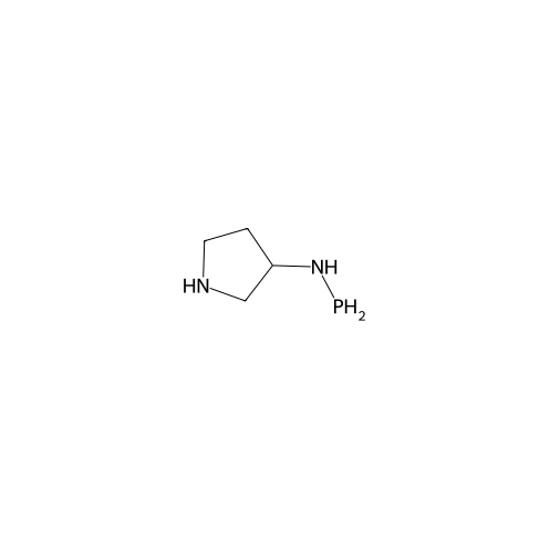 PNC1CCNC1